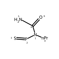 CCCN(P=S)C(N)=O